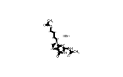 Br.CC(=O)Nc1nc2c(ncn2CCCCOC(C)=O)c(=O)[nH]1